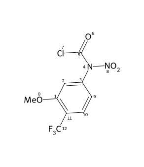 COc1cc(N(C(=O)Cl)[N+](=O)[O-])ccc1C(F)(F)F